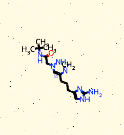 C=N/C(=C\N(N)CC(=O)NC(C)(C)C)CCCc1c[nH]c(N)n1